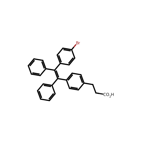 O=C(O)CCc1ccc(C(=C(c2ccccc2)c2ccc(Br)cc2)c2ccccc2)cc1